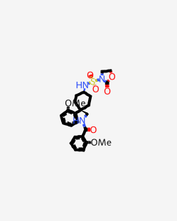 COc1ccccc1C(=O)NC[C@]1(c2ccccc2OC)CC[C@H](NS(=O)(=O)N2CCOC2=O)CC1